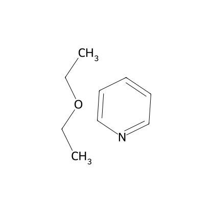 CCOCC.c1ccncc1